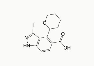 O=C(O)c1ccc2[nH]nc(I)c2c1C1CCCCO1